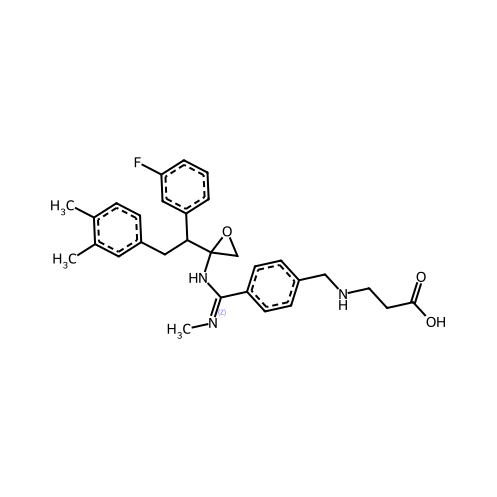 C/N=C(\NC1(C(Cc2ccc(C)c(C)c2)c2cccc(F)c2)CO1)c1ccc(CNCCC(=O)O)cc1